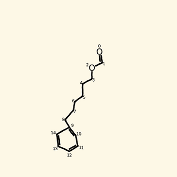 O=COCCCCCCc1ccccc1